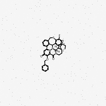 O=C1c2c(OCc3ccccc3)c(=O)ccn2N(C2c3cccc(F)c3SCc3cccc(F)c32)[C@@H]2[C@H]3C[C@@H]4CC[C@@]3(CCN12)C4